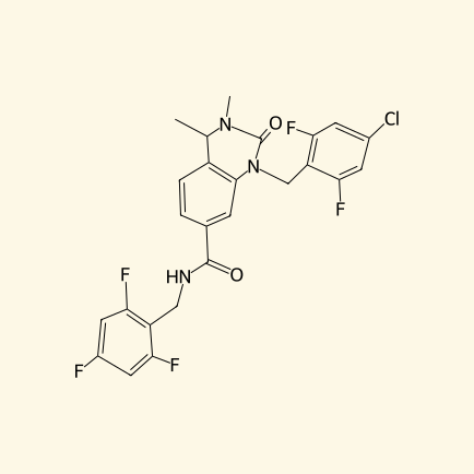 CC1c2ccc(C(=O)NCc3c(F)cc(F)cc3F)cc2N(Cc2c(F)cc(Cl)cc2F)C(=O)N1C